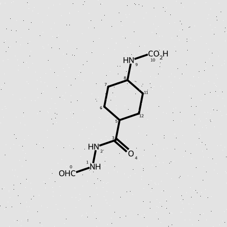 O=CNNC(=O)C1CCC(NC(=O)O)CC1